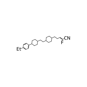 CCc1ccc(C2CCC(CCC3CCC(CCC=C(F)C#N)CC3)CC2)cc1